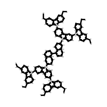 CCc1ccc2c(c1)c1cc(CC)ccc1n2-c1ccc2c(c1)c1cc(-n3c4ccc(CC)cc4c4cc(CC)ccc43)ccc1n2-c1ccc2c(-c3cccc4cc(-n5c6ccc(-n7c8ccc(CC)cc8c8cc(CC)ccc87)cc6c6cc(-n7c8ccc(CC)cc8c8cc(CC)ccc87)ccc65)ccc34)cccc2c1